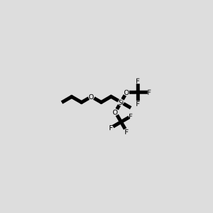 CCCOCC[Si](C)(OC(F)(F)F)OC(F)(F)F